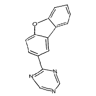 c1ccc2c(c1)oc1ccc(-c3ncncn3)cc12